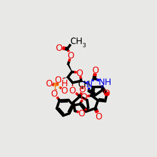 COC1(O[C@@H]2[C@H](OP(=O)(O)Oc3cccc(-c4cc(=O)c5ccccc5o4)c3)[C@@H](COC(C)=O)O[C@H]2n2ccc(=O)[nH]c2=O)CCOCC1